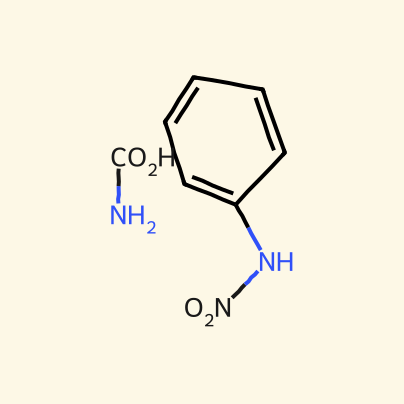 NC(=O)O.O=[N+]([O-])Nc1ccccc1